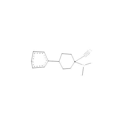 CN(C)C1(C#N)CCC(c2ccccc2)CC1